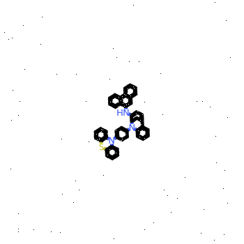 C1=C2CC(C(Nc3cc4ccccc4c4ccccc34)=C1)N(C1=CC=C(N3c4ccccc4Sc4ccccc43)CC1)c1ccccc12